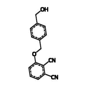 N#Cc1cccc(OCc2ccc(CO)cc2)c1C#N